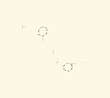 O=C(O)c1cccc(OCCOCCOc2cccc(C(=O)O)c2)c1